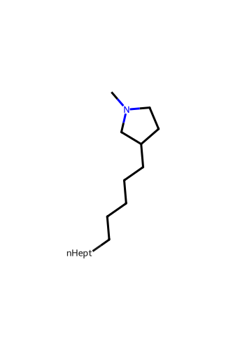 CCCCCCCCCCCCC1CCN(C)C1